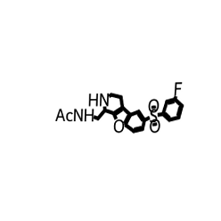 CC(=O)NCC1NCCc2c1oc1ccc(S(=O)(=O)c3cccc(F)c3)cc21